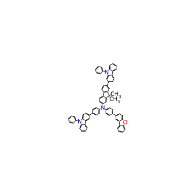 CC1(C)c2cc(-c3ccc4c5ccccc5n(-c5ccccc5)c4c3)ccc2-c2ccc(N(c3ccc(-c4ccc5oc6ccccc6c5c4)cc3)c3ccc(-c4ccc5c(c4)c4ccccc4n5-c4ccccc4)cc3)cc21